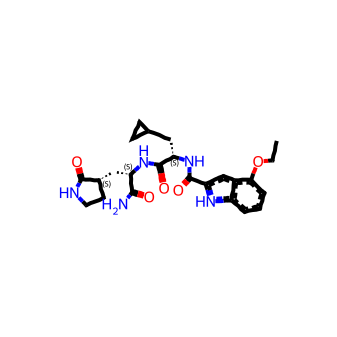 CCOc1cccc2[nH]c(C(=O)N[C@@H](CC3CC3)C(=O)N[C@@H](C[C@@H]3CCNC3=O)C(N)=O)cc12